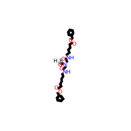 BC(=O)N(CC(=O)NCCCCCCC(=O)OCc1ccccc1)CC(=O)NCCCCCC(=O)OCc1ccccc1